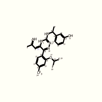 CC(=N)/C=C1\NC(NC(C)c2cccc(O)c2)=NN=C1c1ccc(C(F)(F)F)cc1OC(F)F